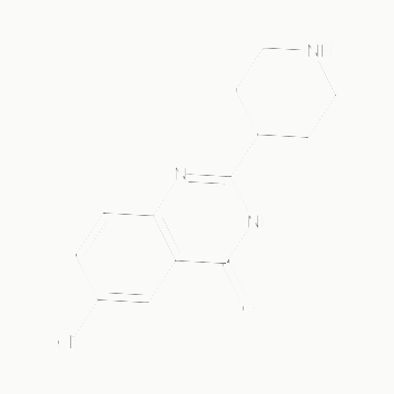 O=c1[nH]c(C2CCNCC2)nc2ccc(Cl)cc12